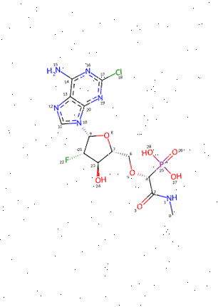 CNC(=O)[C@H](OC[C@H]1O[C@@H](n2cnc3c(N)nc(Cl)nc32)[C@@H](F)[C@@H]1O)P(=O)(O)O